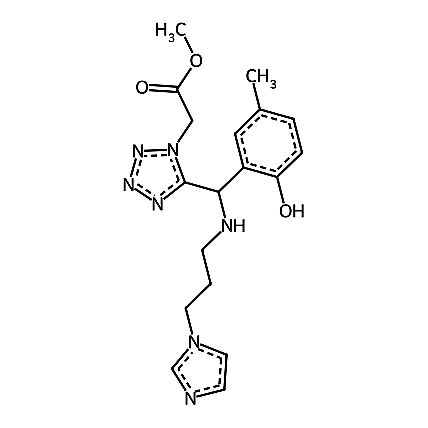 COC(=O)Cn1nnnc1C(NCCCn1ccnc1)c1cc(C)ccc1O